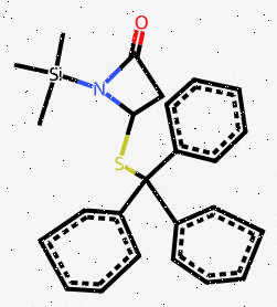 C[Si](C)(C)N1C(=O)CC1SC(c1ccccc1)(c1ccccc1)c1ccccc1